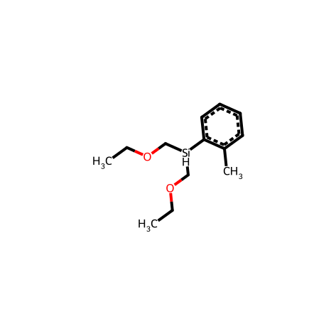 CCOC[SiH](COCC)c1ccccc1C